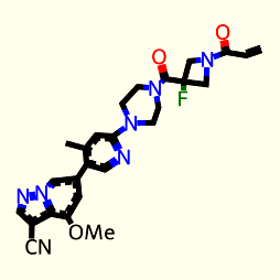 C=CC(=O)N1CC(F)(C(=O)N2CCN(c3cc(C)c(-c4cc(OC)c5c(C#N)cnn5c4)cn3)CC2)C1